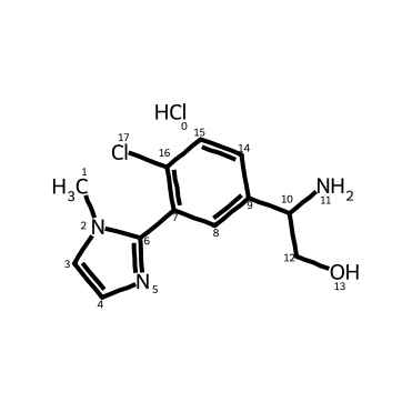 Cl.Cn1ccnc1-c1cc(C(N)CO)ccc1Cl